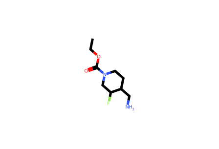 CCOC(=O)N1CCC(CN)C(F)C1